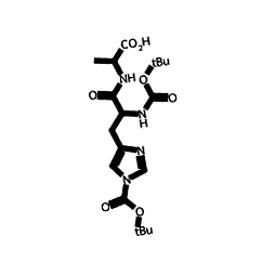 CC(NC(=O)C(Cc1cn(C(=O)OC(C)(C)C)cn1)NC(=O)OC(C)(C)C)C(=O)O